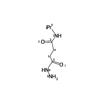 CC(C)NC(=O)CCC(=O)NN